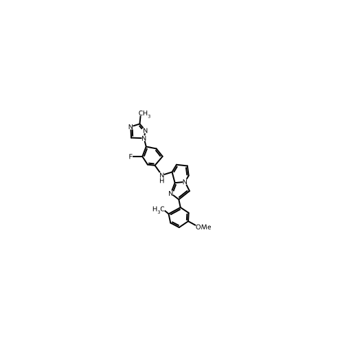 COc1ccc(C)c(-c2cn3cccc(Nc4ccc(-n5cnc(C)n5)c(F)c4)c3n2)c1